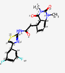 Cn1c(=O)c2c(CC(=O)Nc3nc(-c4cc(F)cc(F)c4)cs3)cccc2n(C)c1=O